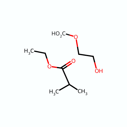 CCOC(=O)C(C)C.O=C(O)OCCO